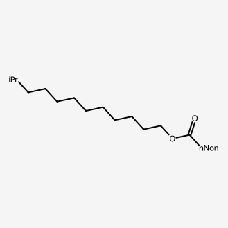 CCCCCCCCCC(=O)OCCCCCCCCCCC(C)C